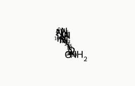 CN(C)c1ncnc2c1c(I)nn2CCCCOC(N)=O